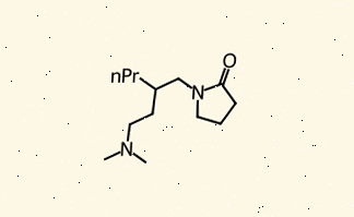 CCCC(CCN(C)C)CN1CCCC1=O